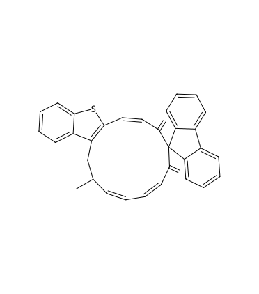 C=C1/C=C\C=C/C(C)Cc2c(sc3ccccc23)/C=C\C(=C)C12c1ccccc1-c1ccccc12